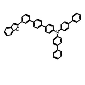 c1ccc(-c2ccc(N(c3ccc(-c4ccccc4)cc3)c3ccc(-c4ccc(-c5cccc(-c6cc7ccccc7o6)c5)cc4)cc3)cc2)cc1